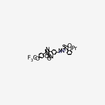 CC(C)c1ccccc1N1C(=O)CS/C1=N\N=C\c1ccc2c(c1)N(C)S(=O)(=O)n1c(-c3ccc(OC(F)(F)F)cc3)cnc1-2